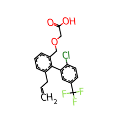 C=CCc1cccc(COCC(=O)O)c1-c1cc(C(F)(F)F)ccc1Cl